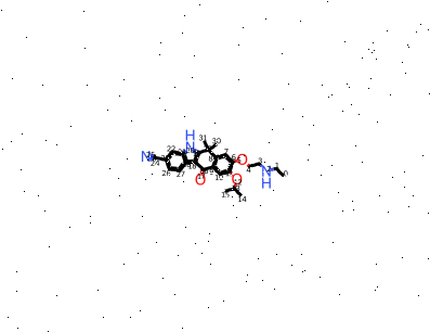 CCNCCOc1cc2c(cc1OC(C)C)C(=O)c1c([nH]c3cc(C#N)ccc13)C2(C)C